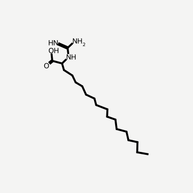 CCCCCCCCCCCCCCCCC(NC(=N)N)C(=O)O